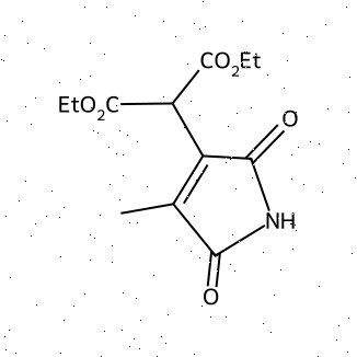 CCOC(=O)C(C(=O)OCC)C1=C(C)C(=O)NC1=O